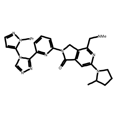 CNCc1nc(N2CCCC2C)cc2c1CN(c1cccc(-c3nncn3-c3ccnn3C(C)C)n1)C2=O